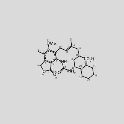 COc1c(C)c2c(c(NC(N)=O)c1C/C=C(\C)CC(CCN1CCCCC1)C(=O)O)C(=O)OC2